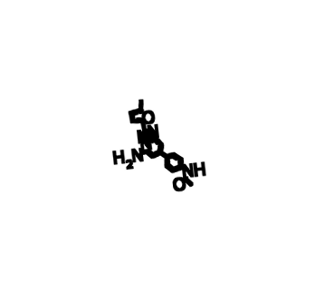 CC(=O)Nc1ccc(-c2cc(N)n3nc(-c4ccc(C)o4)nc3c2)cc1